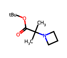 CC(C)(C)OC(=O)C(C)(C)N1CCC1